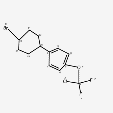 FC(F)(Cl)Oc1ccc(C2CCC(Br)CC2)cc1